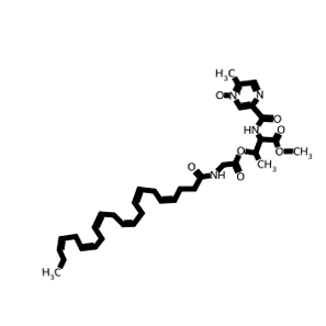 CC/C=C\C/C=C\C/C=C\C/C=C\C/C=C\C/C=C\CCC(=O)NCC(=O)OC(C)C(NC(=O)c1c[n+]([O-])c(C)cn1)C(=O)OC